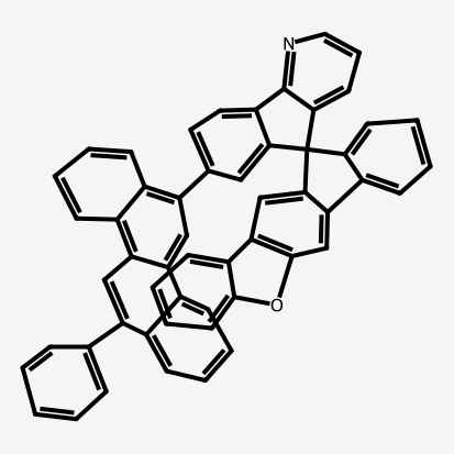 c1ccc(-c2cc3c4ccccc4c(-c4ccc5c(c4)C4(c6ccccc6-c6cc7oc8ccccc8c7cc64)c4cccnc4-5)cc3c3ccccc23)cc1